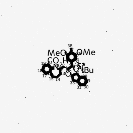 COc1cc([C@@H](O[Si](C)(C)C(C)(C)C)[C@H](CC2CCC=c3cccc(C(=O)O)c3=N2)OC2Cc3ccccc3C2)cc(OC)c1C